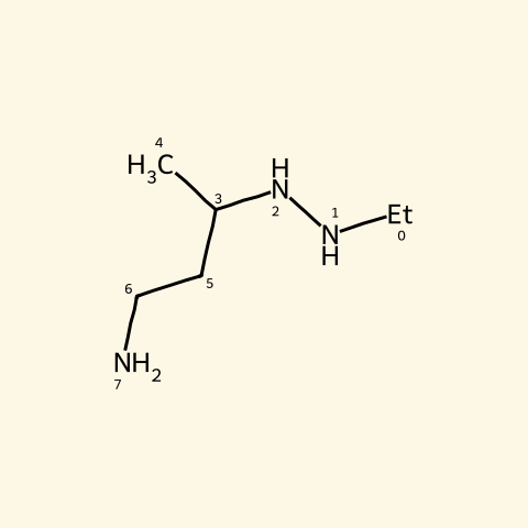 CCNNC(C)CCN